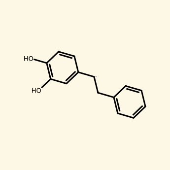 Oc1ccc([CH]Cc2ccccc2)cc1O